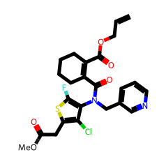 C=CCOC(=O)C1=C(C(=O)N(Cc2cccnc2)c2c(F)sc(CC(=O)OC)c2Cl)CCCC1